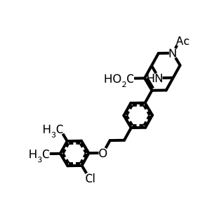 CC(=O)N1CC2CC(c3ccc(CCOc4cc(C)c(C)cc4Cl)cc3)=C(C(=O)O)C(C1)N2